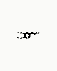 COc1cc(CCO)cnc1OC